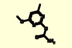 COc1cc(C)nc(OC(N)=O)n1